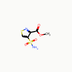 COC(=O)c1nscc1S(N)(=O)=O